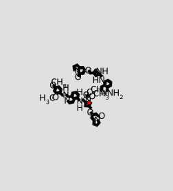 COc1ccc(CNc2nccc3c(NCC45CC(COc6cc7n(c(=O)c6)CCC7)(CN4C(=O)OC(C)(C)C)C5)cccc23)c(OC)c1.Nc1nccc2c(NCC34CC(COc5cc6n(c(=O)c5)CCC6)(CN3)C4)cccc12